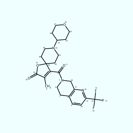 CC1=C(C(=O)N2CCc3ccc(C(F)(F)F)nc3C2)C2(CCN(C3CCOCC3)CC2)OC1=O